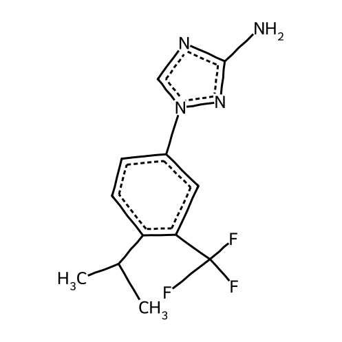 CC(C)c1ccc(-n2cnc(N)n2)cc1C(F)(F)F